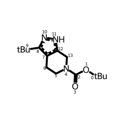 CC(C)(C)OC(=O)N1CCc2c(C(C)(C)C)n[nH]c2C1